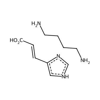 NCCCCN.O=C(O)/C=C/c1c[nH]cn1